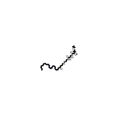 CC/C=C\C/C=C\C/C=C\C/C=C\C/C=C\C/C=C\CC(=O)CCCSSCCNC(=O)CCNC(=O)[C@H](OI)C(C)(C)COC(C)(C)C